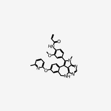 C=CC(=O)Nc1ccc(-c2c3c4c(ncnc4n2C)NCc2cc(Oc4cccc(C)n4)ccc2-3)cc1OC